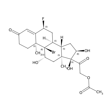 CC(=O)OCC(=O)[C@@]1(O)[C@H](O)C[C@H]2[C@@H]3C[C@H](F)C4=CC(=O)CC[C@]4(C)[C@@]3(Br)[C@@H](O)C[C@@]21C